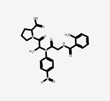 CC(C(=O)N1CCCC1C(=O)O)N(C(=O)CNC(=O)c1ccccc1N)c1ccc([N+](=O)[O-])cc1